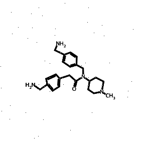 CN1CCC(N(Cc2ccc(CN)cc2)C(=O)Cc2ccc(CN)cc2)CC1